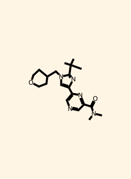 CN(C)C(=O)c1cncc(-c2cn(CC3CCOCC3)c(C(C)(C)C)n2)n1